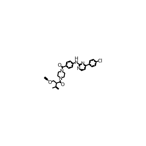 C#COCC(C(=C)C)C(=O)N1CCN(C(=O)c2ccc(Nc3nccc(-c4ccc(Cl)cc4)n3)cc2)CC1